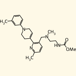 COC(=O)NCCN(C)Cc1ccc(C)nc1C1=CCN(c2cccc(C)c2)CC1